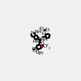 CCOc1cc(C(Nc2ccc3c(N)nccc3c2)(OC(=O)C(F)(F)F)C(=O)NCc2ccccc2OC(CC)CC)ccc1OC(C)C